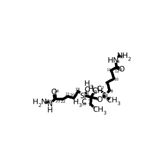 CCC(C)(O[Si](C)(C)CCCCC(=O)NN)[Si](C)(C)CCCCC(=O)NN